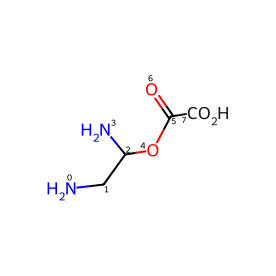 NCC(N)OC(=O)C(=O)O